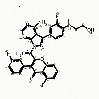 CC(c1oc2cccc(F)c2c(=O)c1-c1cccc(F)c1)n1nc(-c2ccc(NCCO)c(F)c2)c2c(N)ncnc21